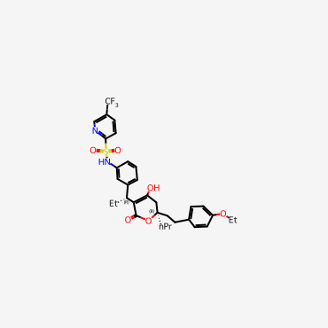 CCC[C@@]1(CCc2ccc(OCC)cc2)CC(O)=C([C@H](CC)c2cccc(NS(=O)(=O)c3ccc(C(F)(F)F)cn3)c2)C(=O)O1